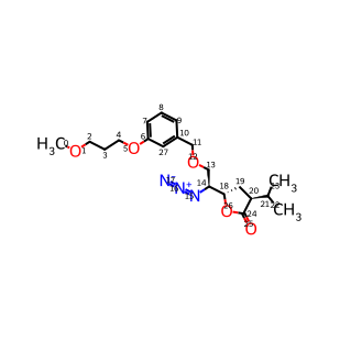 COCCCOc1cccc(COC[C@H](N=[N+]=[N-])[C@@H]2C[C@@H](C(C)C)C(=O)O2)c1